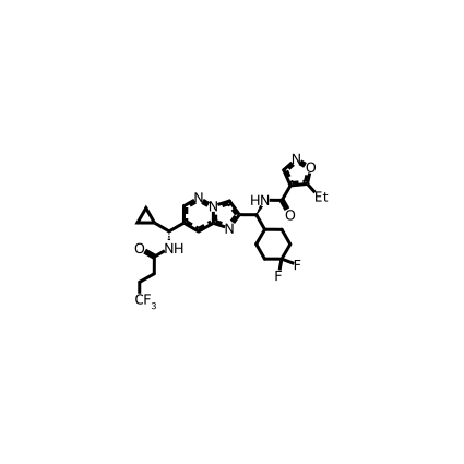 CCc1oncc1C(=O)N[C@H](c1cn2ncc([C@H](NC(=O)CCC(F)(F)F)C3CC3)cc2n1)C1CCC(F)(F)CC1